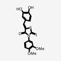 COc1ccc(N2C(=O)C(=Cc3ccc(O)c(O)c3)SC2=S)cc1OC